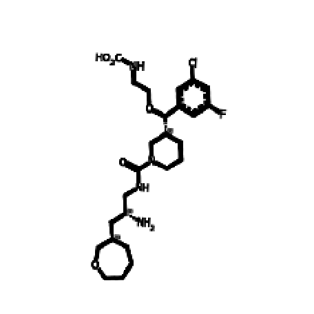 N[C@@H](CNC(=O)N1CCC[C@@H](C(OCCNC(=O)O)c2cc(F)cc(Cl)c2)C1)C[C@H]1CCCCOC1